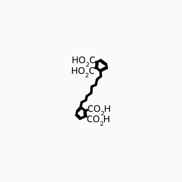 O=C(O)c1cccc(CCCCCCCCc2cccc(C(=O)O)c2C(=O)O)c1C(=O)O